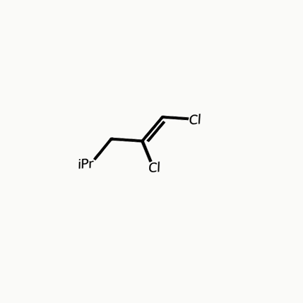 CC(C)C/C(Cl)=C/Cl